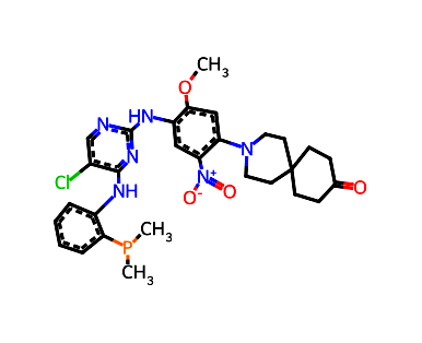 COc1cc(N2CCC3(CCC(=O)CC3)CC2)c([N+](=O)[O-])cc1Nc1ncc(Cl)c(Nc2ccccc2P(C)C)n1